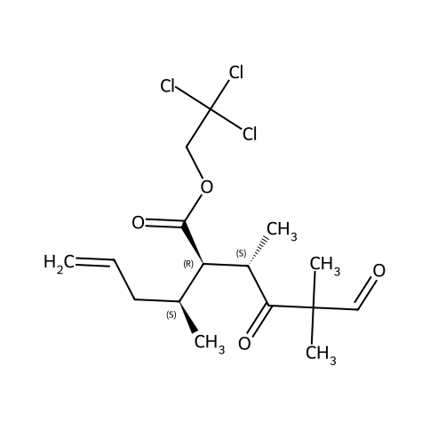 C=CC[C@H](C)[C@@H](C(=O)OCC(Cl)(Cl)Cl)[C@H](C)C(=O)C(C)(C)C=O